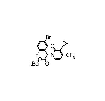 CC(C)(C)OC(=O)C(c1cc(Br)ccc1F)n1ccc(C(F)(F)F)c(C2CC2)c1=O